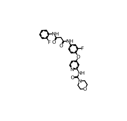 O=C(CC(=O)Nc1ccccc1F)Nc1ccc(Oc2ccnc(NC(=O)N3CCOCC3)c2)c(F)c1